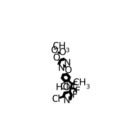 COC(=O)Oc1cnc(Oc2ccc(Cl)c(C(C)C(O)(c3ccnc(Cl)c3)C(F)(F)F)c2)nc1